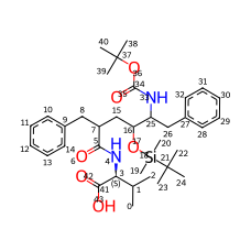 CC(C)[C@H](NC(=O)C(Cc1ccccc1)CC(O[Si](C)(C)C(C)(C)C)C(Cc1ccccc1)NC(=O)OC(C)(C)C)C(=O)O